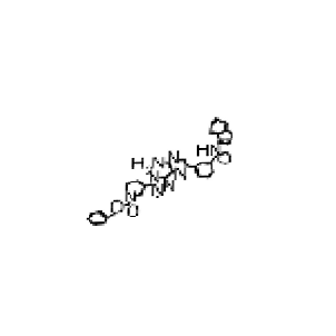 Cn1nc(-c2nc(-c3cccc(C(=O)N[C@H]4CCc5ccccc54)c3)cnc2N)nc1C1CCCN(C(=O)OCc2ccccc2)C1